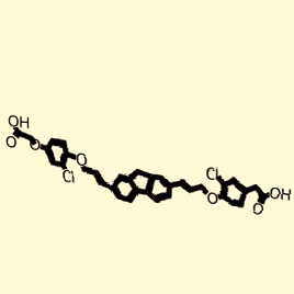 O=C(O)COc1ccc(OCC=Cc2ccc3c(c2)Cc2cc(C=CCOc4ccc(CC(=O)O)cc4Cl)ccc2-3)c(Cl)c1